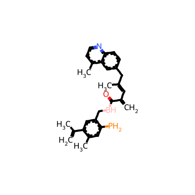 C=C(/C=C(\C)Cc1ccc2nccc(C)c2c1)C(=O)BCc1cc(C(=C)C)c(C)cc1P